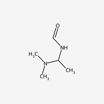 CC(NC=O)N(C)C